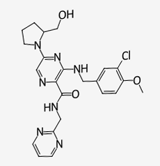 COc1ccc(CNc2nc(N3CCCC3CO)cnc2C(=O)NCc2ncccn2)cc1Cl